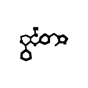 Cc1nccn1Cc1ccc(SC2C(C(=O)O)CCOC2c2ccccc2)cc1